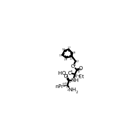 CCC[C@H](N)C(=O)N[C@@](CC)(C(=O)O)C(=O)OCc1ccccc1